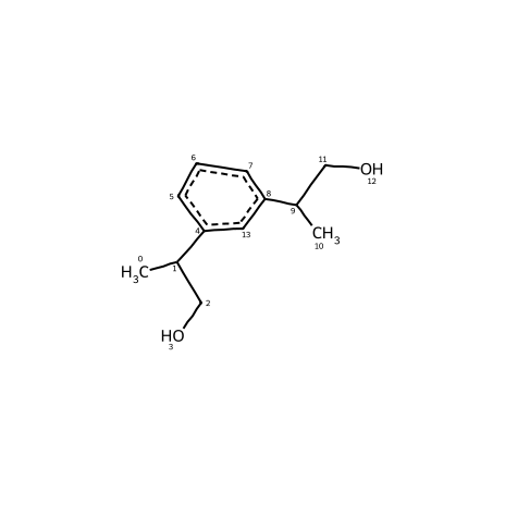 CC(CO)c1cccc(C(C)CO)c1